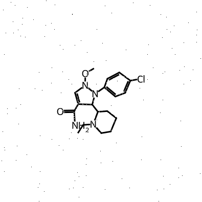 CCN1CCCCC1C1C(C(N)=O)=CN(OC)N1c1ccc(Cl)cc1